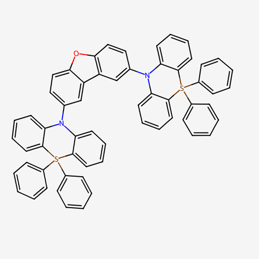 c1ccc(S2(c3ccccc3)c3ccccc3N(c3ccc4oc5ccc(N6c7ccccc7S(c7ccccc7)(c7ccccc7)c7ccccc76)cc5c4c3)c3ccccc32)cc1